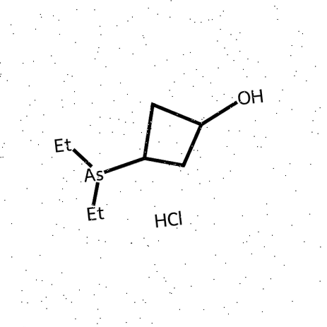 CC[As](CC)C1CC(O)C1.Cl